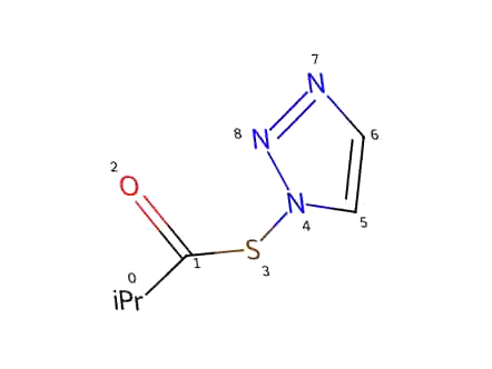 CC(C)C(=O)Sn1ccnn1